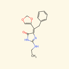 CCNC1=NC(=C(Cc2ccccc2)C2=COCO2)C(=O)N1